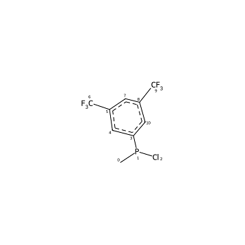 CP(Cl)c1cc(C(F)(F)F)cc(C(F)(F)F)c1